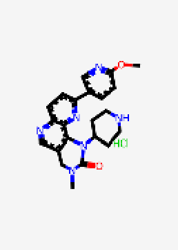 COc1ccc(-c2ccc3ncc4c(c3n2)N(C2CCNCC2)C(=O)N(C)C4)cn1.Cl